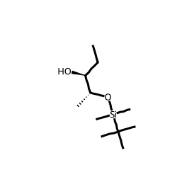 CC[C@H](O)[C@@H](C)O[Si](C)(C)C(C)(C)C